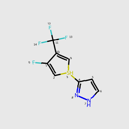 FC1=C[SH](c2cc[nH]n2)C=C1C(F)(F)F